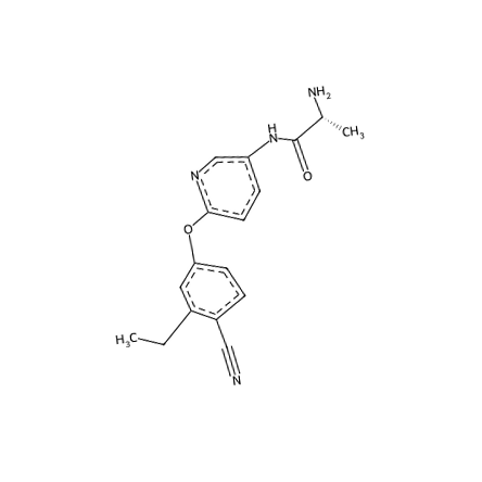 CCc1cc(Oc2ccc(NC(=O)[C@@H](C)N)cn2)ccc1C#N